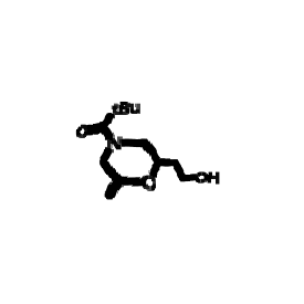 CC1CN(C(=O)C(C)(C)C)CC(CCO)O1